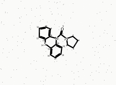 O=C(N1CCCC1)N1c2ccccc2Sc2ccccc21